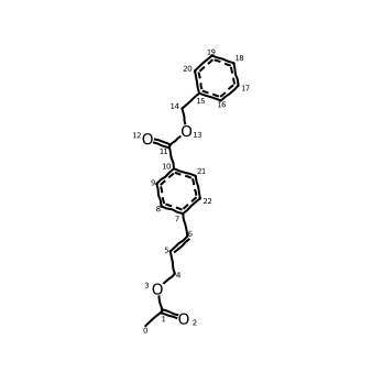 CC(=O)OC/C=C/c1ccc(C(=O)OCc2ccccc2)cc1